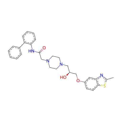 Cc1nc2cc(OC[C@@H](O)CN3CCN(CC(=O)Nc4ccccc4-c4ccccc4)CC3)ccc2s1